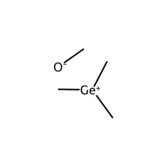 C[O-].[CH3][Ge+]([CH3])[CH3]